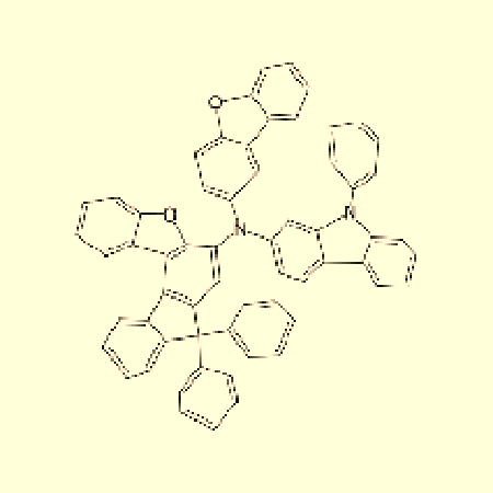 c1ccc(-n2c3ccccc3c3ccc(N(c4ccc5oc6ccccc6c5c4)c4cc5c(c6c4oc4ccccc46)-c4ccccc4C5(c4ccccc4)c4ccccc4)cc32)cc1